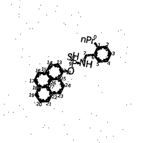 CCCc1ccccc1CN[PH](=S)Oc1ccc2ccc3cccc4ccc1c2c34